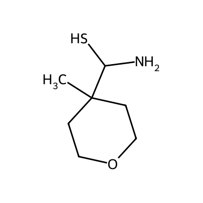 CC1(C(N)S)CCOCC1